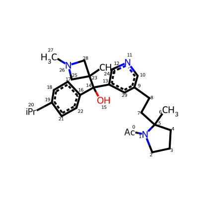 CC(=O)N1CCCC1(C)CCc1cncc(C(O)(c2ccc(C(C)C)cc2)C2(C)CN(C)C2)c1